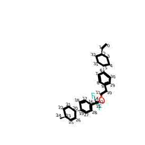 CC[C@H]1CC[C@H](c2ccc(CCOC(F)(F)c3ccc([C@H]4CC[C@H](C)CC4)cc3)cc2)CC1